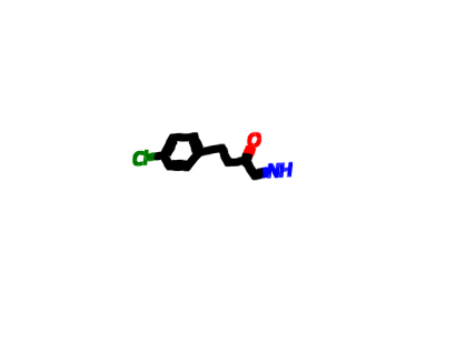 N=CC(=O)CCc1ccc(Cl)cc1